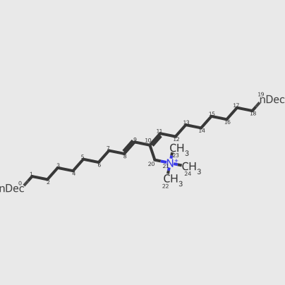 CCCCCCCCCCCCCCCCCC=CC(=CCCCCCCCCCCCCCCCCC)C[N+](C)(C)C